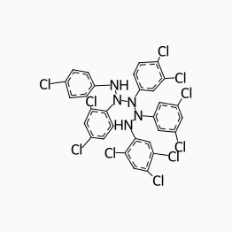 Clc1ccc(NN(c2ccc(Cl)cc2Cl)N(c2ccc(Cl)c(Cl)c2)N(Nc2cc(Cl)c(Cl)cc2Cl)c2cc(Cl)cc(Cl)c2)cc1